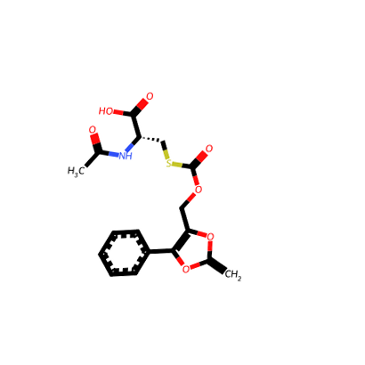 C=C1OC(COC(=O)SC[C@H](NC(C)=O)C(=O)O)=C(c2ccccc2)O1